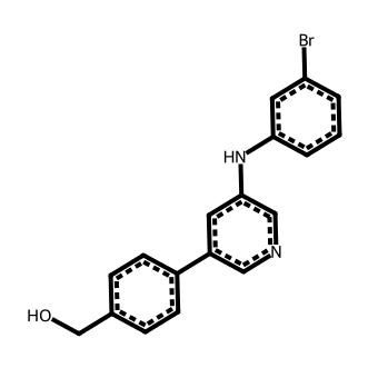 OCc1ccc(-c2cncc(Nc3cccc(Br)c3)c2)cc1